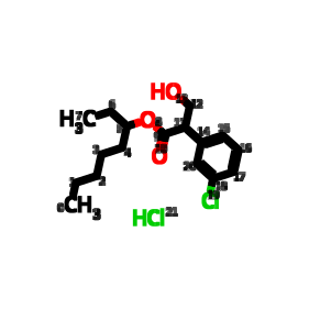 CCCCCC(CC)OC(=O)C(CO)c1cccc(Cl)c1.Cl